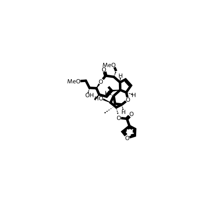 COC[C@@H](O)[C@H]1OC(=O)[C@H](COC)[C@H]2C=C[C@H]3O[C@@H]4C[C@@H]([C@H](O)[C@@H](C)[C@H]4OC(=O)c4ccoc4)[C@]23/C(C)=C/[C@H]1C